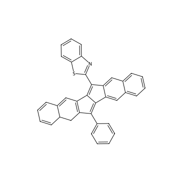 C1=CC2=CC3=C(CC2C=C1)C(c1ccccc1)=C1C3=C(c2nc3ccccc3s2)c2cc3ccccc3cc21